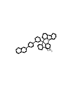 CSc1ccccc1C1(c2cccc(-c3ccc(-c4ccc5ccccc5c4)cc3)c2)c2ccccc2-n2c3ccccc3c3cccc1c32